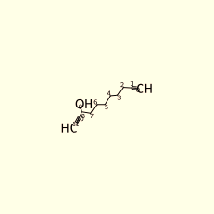 C#CCCCCCCC(O)C#C